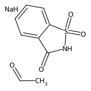 CC=O.O=C1NS(=O)(=O)c2ccccc21.[NaH]